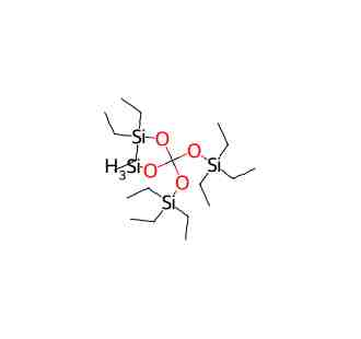 CC[Si](CC)(CC)OC(O[SiH3])(O[Si](CC)(CC)CC)O[Si](CC)(CC)CC